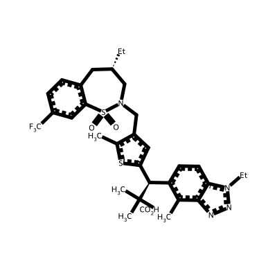 CC[C@H]1Cc2ccc(C(F)(F)F)cc2S(=O)(=O)N(Cc2cc([C@@H](c3ccc4c(nnn4CC)c3C)C(C)(C)C(=O)O)sc2C)C1